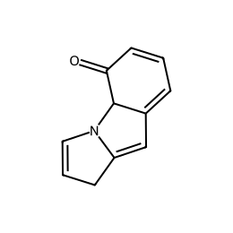 O=C1C=CC=C2C=C3CC=CN3C12